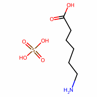 NCCCCCC(=O)O.O=S(=O)(O)O